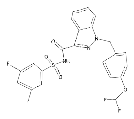 Cc1cc(F)cc(S(=O)(=O)NC(=O)c2nn(Cc3ccc(OC(F)F)cc3)c3ccccc23)c1